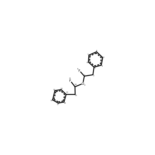 FC(Cc1ccccc1)OC(F)Cc1ccccc1